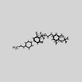 CCC[C@H]1CC[C@H](c2cc(F)c(C(F)(F)OCCc3cc(F)c(OC(F)(F)F)c(F)c3)c(F)c2)CC1